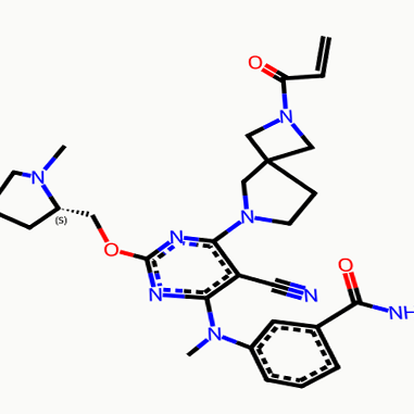 C=CC(=O)N1CC2(CCN(c3nc(OC[C@@H]4CCCN4C)nc(N(C)c4cccc(C(N)=O)c4)c3C#N)C2)C1